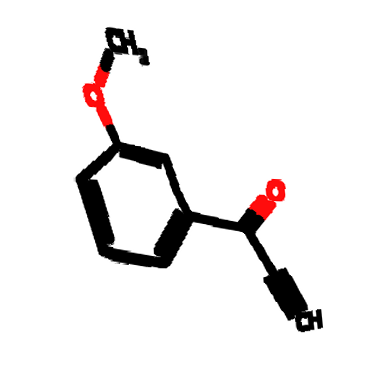 C#CC(=O)c1cccc(OC)c1